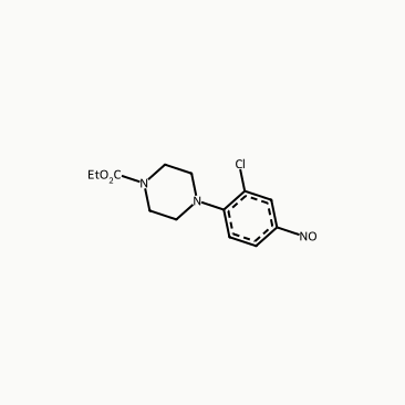 CCOC(=O)N1CCN(c2ccc(N=O)cc2Cl)CC1